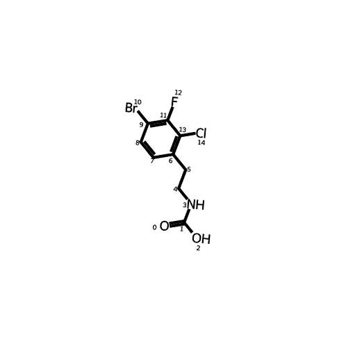 O=C(O)NCCc1ccc(Br)c(F)c1Cl